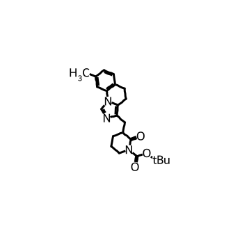 Cc1ccc2c(c1)-n1cnc(CC3CCCN(C(=O)OC(C)(C)C)C3=O)c1CC2